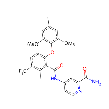 COc1cc(C)cc(OC)c1Oc1ccc(C(F)(F)F)c(C)c1C(=O)Nc1ccnc(C(N)=O)c1